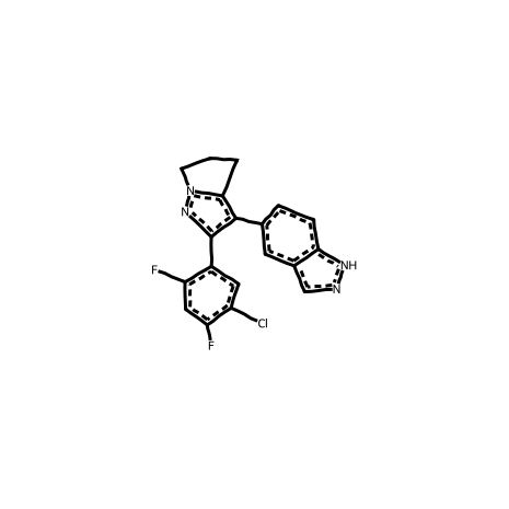 Fc1cc(F)c(-c2nn3c(c2-c2ccc4[nH]ncc4c2)CCC3)cc1Cl